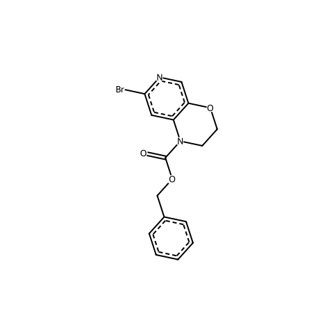 O=C(OCc1ccccc1)N1CCOc2cnc(Br)cc21